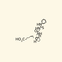 O=C(O)CCC/C=C\C[C@@H]1[C@H](CNC(=O)CNC(=S)Nc2ccccc2)[C@@H]2CC[C@H]1O2